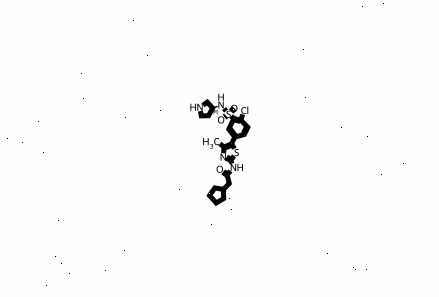 Cc1nc(NC(=O)CC2CCCC2)sc1-c1ccc(Cl)c(S(=O)(=O)N[C@@H]2CCNC2)c1